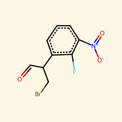 O=CC(CBr)c1cccc([N+](=O)[O-])c1F